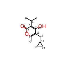 Cc1oc(=O)c(C(C)C)c(O)c1CC1CC1